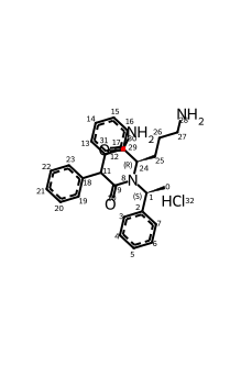 C[C@@H](c1ccccc1)N(C(=O)C(c1ccccc1)c1ccccc1)[C@H](CCCN)C(N)=O.Cl